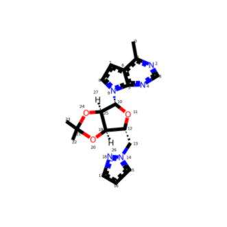 Cc1ncnc2c1ccn2[C@@H]1O[C@H](Cn2cccn2)[C@H]2OC(C)(C)O[C@H]21